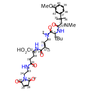 CN[C@H](C(=O)NC(C(=O)N(C)C/C=C(\C)C(=O)N[C@H](CCC(=O)NCCN1C(=O)C=CC1=O)C(=O)O)C(C)(C)C)C(C)(C)c1cccc(OC)c1